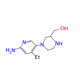 CCc1cc(N)ncc1N1CCNC(CO)C1